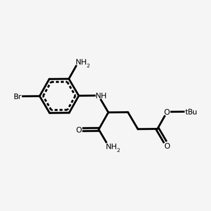 CC(C)(C)OC(=O)CCC(Nc1ccc(Br)cc1N)C(N)=O